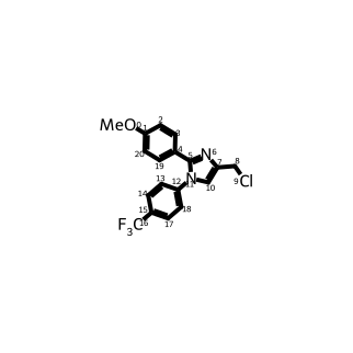 COc1ccc(-c2nc(CCl)cn2-c2ccc(C(F)(F)F)cc2)cc1